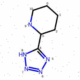 C1CCC(c2nnn[nH]2)[N]C1